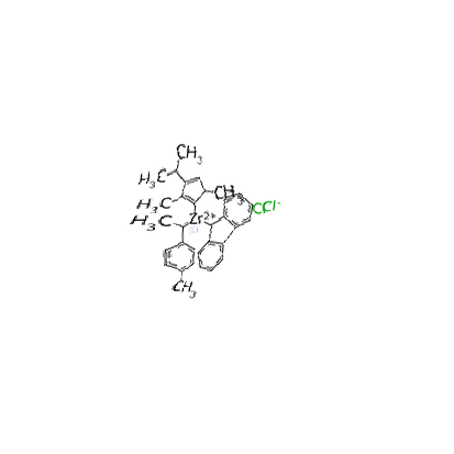 CC1=[C](/[Zr+2](=[C](\C)c2ccc(C)cc2)[CH]2c3ccccc3-c3ccccc32)C(C)C=C1C(C)C.[Cl-].[Cl-]